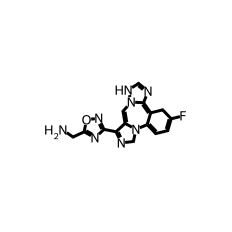 NCc1nc(C2=NCN3C2=CN2NC=NC2=C2CC(F)=CC=C23)no1